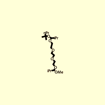 CCCC(C)(C)OC(OCCOCCOCCOC(OC)C(C)C)C(C)C